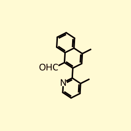 Cc1cccnc1-c1cc(C)c2ccccc2c1C=O